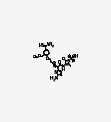 C[C@H]1[C@H](NC(=O)C(=NOCCOc2ccc(C(=N)N)cc2COC=O)c2csc(N)n2)C(=O)N1S(=O)(=O)O